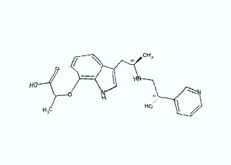 CC(Oc1cccc2c(C[C@@H](C)NC[C@@H](O)c3cccnc3)c[nH]c12)C(=O)O